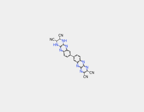 N#Cc1nc2nc3ccc(-c4ccc5nc6c(nc5c4)NC(C#N)C(C#N)N6)cc3nc2nc1C#N